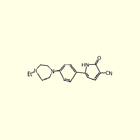 CCN1CCN(c2ccc(-c3ccc(C#N)c(=O)[nH]3)cc2)CC1